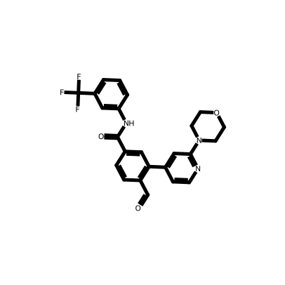 O=Cc1ccc(C(=O)Nc2cccc(C(F)(F)F)c2)cc1-c1ccnc(N2CCOCC2)c1